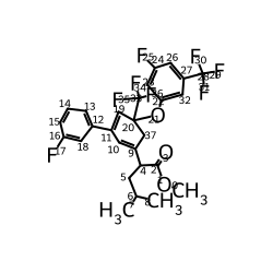 COC(=O)C(CC(C)C)C1=CC(c2cccc(F)c2)=CC(Oc2cc(F)cc(C(F)(F)F)c2)(C(F)(F)F)C1